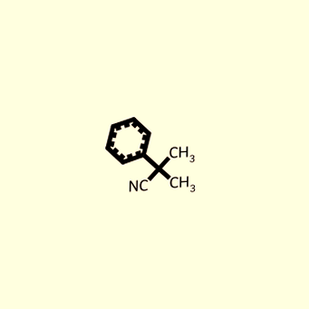 CC(C)(C#N)c1ccccc1